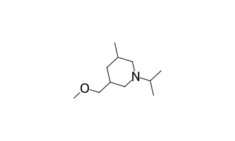 COCC1CC(C)CN(C(C)C)C1